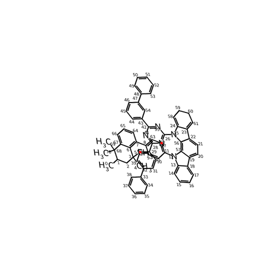 CC1CC(C)(C)c2c(-c3ccc(-n4c5ccccc5c5ccc6c7c(n(-c8nc(-c9ccc(-c%10ccccc%10)cc9)nc(-c9cccc(-c%10ccccc%10)c9)n8)c6c54)=CCCC=7)cc3)cccc2C1(C)C